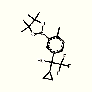 Cc1ccc(C(O)(C2CC2)C(F)(F)F)cc1B1OC(C)(C)C(C)(C)O1